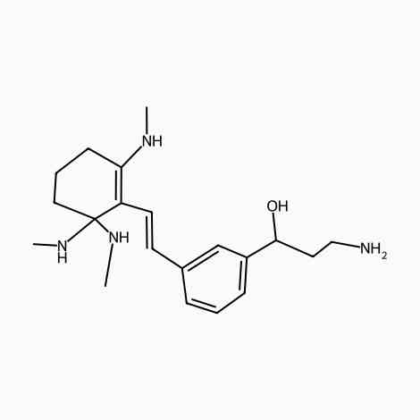 CNC1=C(/C=C/c2cccc(C(O)CCN)c2)C(NC)(NC)CCC1